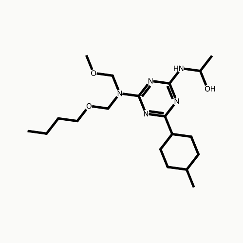 CCCCOCN(COC)c1nc(NC(C)O)nc(C2CCC(C)CC2)n1